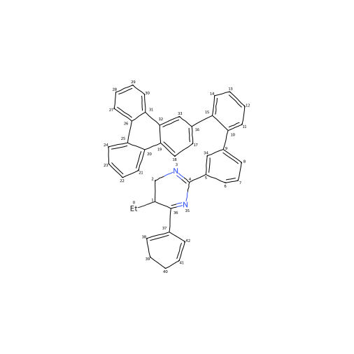 CCC1CN=C(c2cccc(-c3ccccc3-c3ccc4c5ccccc5c5ccccc5c4c3)c2)N=C1C1=CCCC=C1